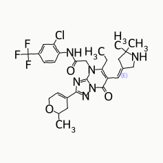 CCc1c(/C=C2/CNC(C)(C)C2)c(=O)n2nc(C3=CCOC(C)C3)nc2n1CC(=O)Nc1ccc(C(F)(F)F)cc1Cl